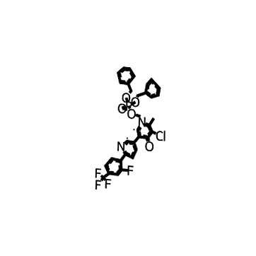 Cc1c(Cl)c(=O)c(-c2[c]nc(-c3ccc(C(F)(F)F)cc3F)cc2)[c]n1COP(=O)(OCc1ccccc1)OCc1ccccc1